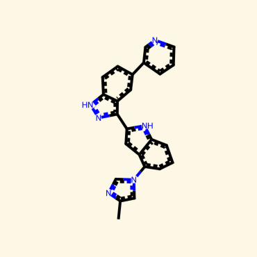 Cc1cn(-c2cccc3[nH]c(-c4n[nH]c5ccc(-c6cccnc6)cc45)cc23)cn1